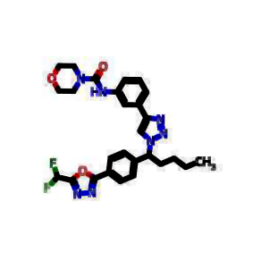 CCCCC(c1ccc(-c2nnc(C(F)F)o2)cc1)n1cc(-c2cccc(NC(=O)N3CCOCC3)c2)nn1